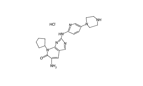 Cl.Nc1cc2cnc(Nc3ccc(N4CCNCC4)cn3)nc2n(C2CCCC2)c1=O